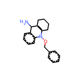 NC1C2=C(CCCC2)N(OCc2ccccc2)c2ccccc21